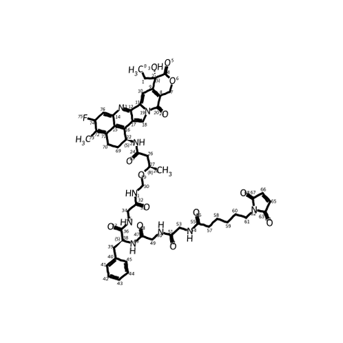 CC[C@@]1(O)C(=O)OCc2c1cc1c3nc4c5c(c3cn1c2=O)[C@@H](NC(=O)C[C@@H](C)OCNC(=O)CNC(=O)[C@H](Cc1ccccc1)NC(=O)CNC(=O)CNC(=O)CCCCCN1C(=O)C=CC1=O)CCC5=C(C)C(F)C=4